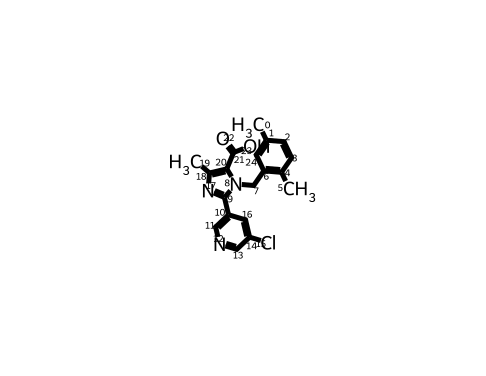 Cc1ccc(C)c(Cn2c(-c3cncc(Cl)c3)nc(C)c2C(=O)O)c1